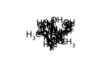 CCN(CC)c1cc(Nc2nc(Nc3cc(N(CC)CC)c(OC)cc3/N=N/c3ccc(F)c(S(=O)(=O)O)c3)nc(N(CCO)CCO)n2)c(/N=N/c2ccc(F)cc2)cc1OC